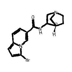 O=C(NC1CN2CC[C@H]1C2)c1ccc2ccc(Br)n2c1